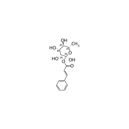 C[C@@H]1O[C@@](O)(OC(=O)C=Cc2ccccc2)[C@H](O)[C@H](O)[C@H]1O